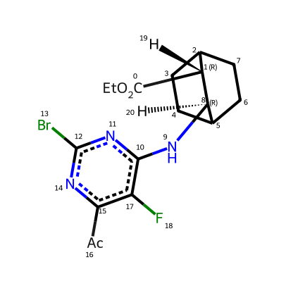 CCOC(=O)[C@@H]1C2CCC(CC2)[C@H]1Nc1nc(Br)nc(C(C)=O)c1F